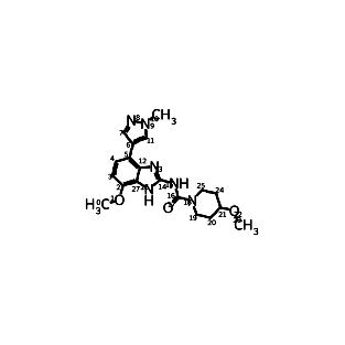 COc1ccc(-c2cnn(C)c2)c2nc(NC(=O)N3CCC(OC)CC3)[nH]c12